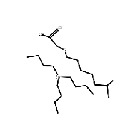 CC(C)CCCCCSCC(=O)[O-].CCC[CH2][Sn+]([CH2]CCC)[CH2]CCC